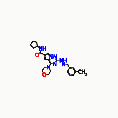 Cc1cccc(/C=N/Nc2nc(N3CCOCC3)c3cc(C(=O)NC4CCCC4)cn3n2)c1